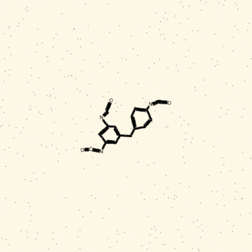 O=C=Nc1ccc(Cc2cc(N=C=O)cc(N=C=O)c2)cc1